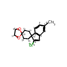 Cc1ccc2c(c1)C=C(Br)C21CCC2(CC1)OCCO2